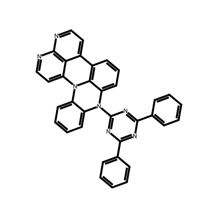 c1ccc(-c2nc(-c3ccccc3)nc(-n3c4cccc5c4-n(c4ccnc6nccc5c64)c4ccccc43)n2)cc1